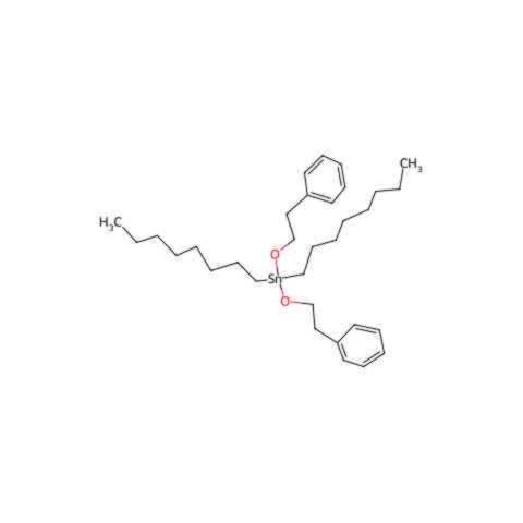 CCCCCCC[CH2][Sn]([CH2]CCCCCCC)([O]CCc1ccccc1)[O]CCc1ccccc1